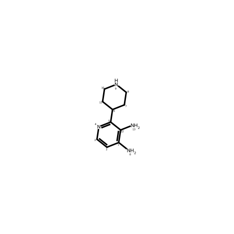 Nc1ccnc(C2CCNCC2)c1N